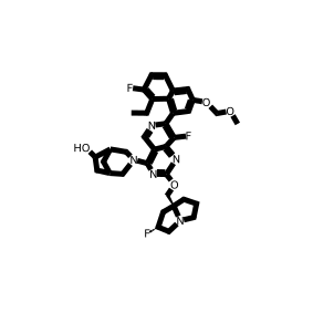 CCc1c(F)ccc2cc(OCOC)cc(-c3ncc4c(N5CC6CC(O)C(C6)C5)nc(OC[C@@]56CCCN5C[C@H](F)C6)nc4c3F)c12